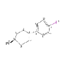 CC(C)[C@H]1CC[C@H](c2ccc(I)cc2)CC1